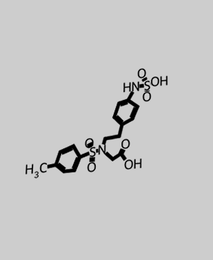 Cc1ccc(S(=O)(=O)N(CCc2ccc(NS(=O)(=O)O)cc2)CC(=O)O)cc1